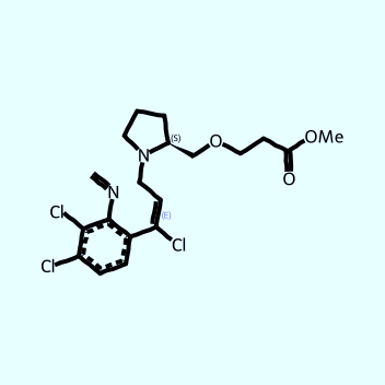 C=Nc1c(/C(Cl)=C\CN2CCC[C@H]2COCCC(=O)OC)ccc(Cl)c1Cl